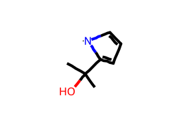 CC(C)(O)C1=CC=C[N]1